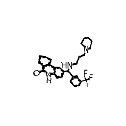 O=c1[nH]c2ccc(C(NCCCN3CCCCC3)c3cccc(C(F)(F)F)c3)cc2c2ccccc12